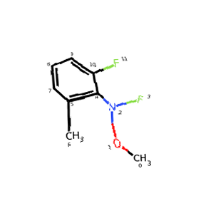 CON(F)c1c(C)cccc1F